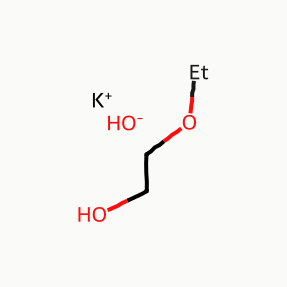 CCOCCO.[K+].[OH-]